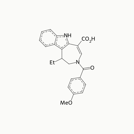 CCC1CN(C(=O)c2ccc(OC)cc2)C=C(C(=O)O)c2[nH]c3ccccc3c21